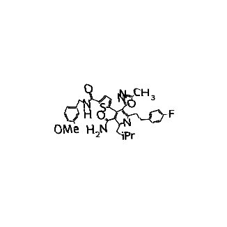 COc1cccc(CNC(=O)c2ccc(-c3c(C(N)=O)c(CC(C)C)nc(CCc4ccc(F)cc4)c3-c3nnc(C)o3)s2)c1